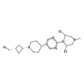 CCC1CN(C)CC(CC)N1c1ncc(C2CCN([C@H]3C[C@@H](CC(C)=O)C3)CC2)cn1